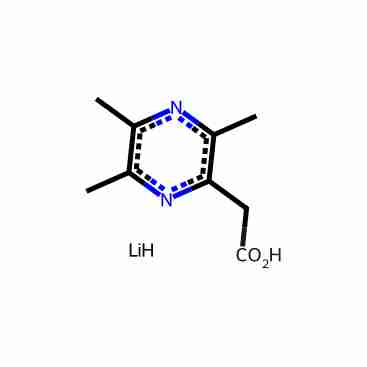 Cc1nc(C)c(CC(=O)O)nc1C.[LiH]